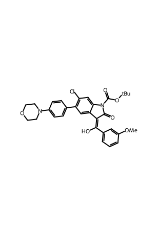 COc1cccc(/C(O)=C2\C(=O)N(C(=O)OC(C)(C)C)c3cc(Cl)c(-c4ccc(N5CCOCC5)cc4)cc32)c1